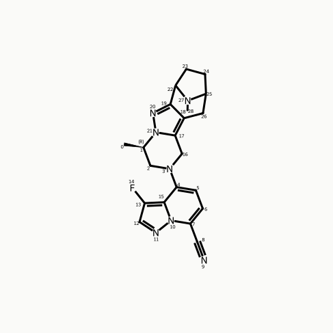 C[C@@H]1CN(c2ccc(C#N)n3ncc(F)c23)Cc2c3c(nn21)C1CCC(C3)N1C